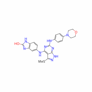 CSc1n[nH]c2nc(Nc3ccc(N4CCOCC4)cc3)nc(Nc3ccc4[nH]c(O)nc4c3)c12